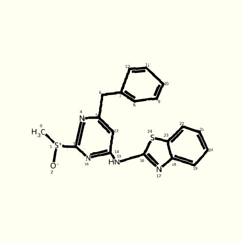 C[S+]([O-])c1nc(Cc2ccccc2)cc(Nc2nc3ccccc3s2)n1